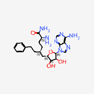 NC(=O)[C@@H](N)CC[C@H](CCc1ccccc1)C[C@H]1O[C@@H](n2cnc3c(N)ncnc32)C(O)[C@H]1O